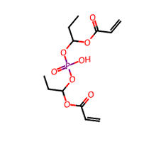 C=CC(=O)OC(CC)OP(=O)(O)OC(CC)OC(=O)C=C